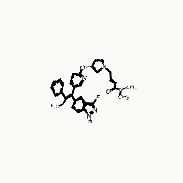 CN(C)C(=O)/C=C/CN1CC[C@@H](Oc2ccc(/C(=C(/CC(F)(F)F)c3ccccc3)c3ccc4[nH]nc(F)c4c3)cn2)C1